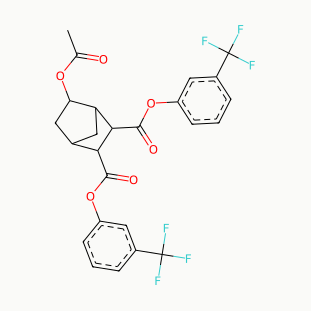 CC(=O)OC1CC2CC1C(C(=O)Oc1cccc(C(F)(F)F)c1)C2C(=O)Oc1cccc(C(F)(F)F)c1